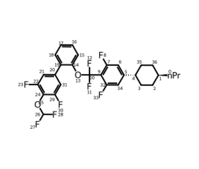 CCC[C@H]1CC[C@H](c2cc(F)c(C(F)(F)Oc3ccccc3-c3cc(F)c(OC(F)F)c(F)c3)c(F)c2)CC1